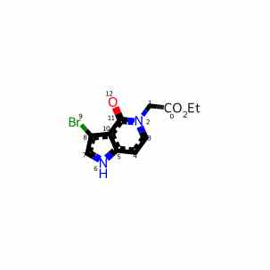 CCOC(=O)Cn1ccc2[nH]cc(Br)c2c1=O